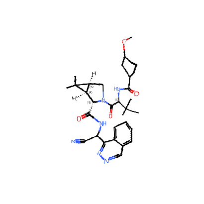 COC1CC(C(=O)N[C@H](C(=O)N2C[C@H]3[C@@H]([C@H]2C(=O)NC(C#N)c2nncc4ccccc24)C3(C)C)C(C)(C)C)C1